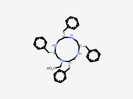 O=C(O)CN1C[C@H](Cc2ccccc2)NC[C@H](Cc2ccccc2)NC[C@H](Cc2ccccc2)NC[C@@H]1Cc1ccccc1